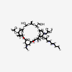 C=C1C[C@H](O)C[C@@H]2C[C@H](OC(C)=O)C(C)(C)[C@](O)(C[C@@H]3C/C(=C/C)C[C@H](/C=C/C(C)(C)[C@]4(O)O[C@@H](C/C(=C\C(=O)OC)[C@@H]4OC(=O)/C=C/C=C/CCC)C[C@H](CO)O1)O3)O2